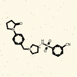 N#Cc1cccc(S(=O)(=O)N[C@@H]2CCN(Cc3ccc(N4CCCC4=O)cc3)C2)c1